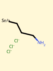 NCC[CH2][Sn+3].[Cl-].[Cl-].[Cl-]